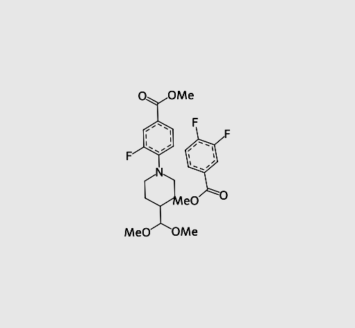 COC(=O)c1ccc(F)c(F)c1.COC(=O)c1ccc(N2CCC(C(OC)OC)CC2)c(F)c1